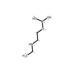 CCNCCOB(O)O